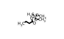 CCCC(=O)O[Si](C)(OC)OC